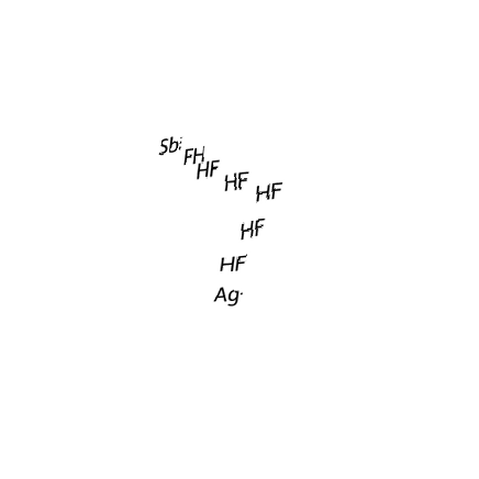 F.F.F.F.F.F.[Ag].[Sb]